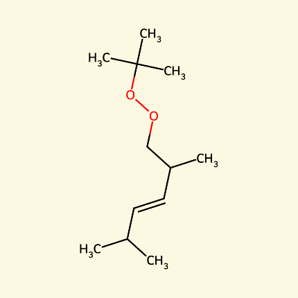 CC(C)C=CC(C)COOC(C)(C)C